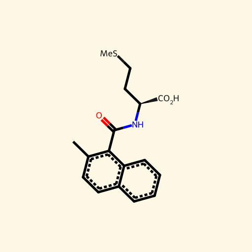 CSCC[C@H](NC(=O)c1c(C)ccc2ccccc12)C(=O)O